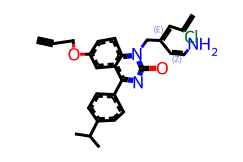 C#CCOc1ccc2c(c1)c(-c1ccc(C(C)C)cc1)nc(=O)n2CC(/C=C\N)=C/C(=C)Cl